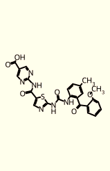 COc1ccccc1C(=O)c1cc(C)ccc1NC(=O)Nc1ncc(C(=O)Nc2ncc(C(=O)O)cn2)s1